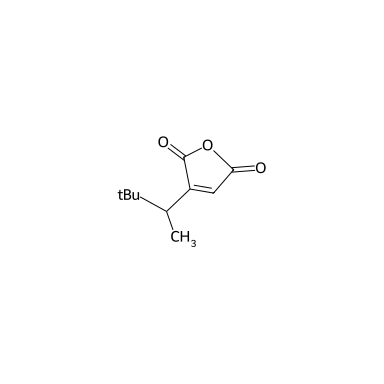 CC(C1=CC(=O)OC1=O)C(C)(C)C